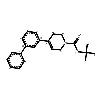 CC(C)(C)OC(=O)N1CC=C(c2cccc(-c3ccccc3)c2)CC1